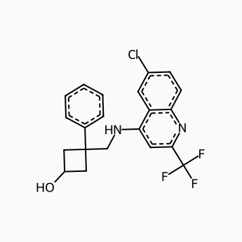 OC1CC(CNc2cc(C(F)(F)F)nc3ccc(Cl)cc23)(c2ccccc2)C1